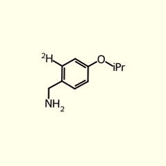 [2H]c1cc(OC(C)C)ccc1CN